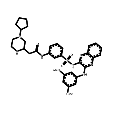 COc1cc(Nc2nc3ccccc3nc2NS(=O)(=O)c2cccc(NC(=O)CC3CN(C4CCCC4)CCN3)c2)cc(OC)c1